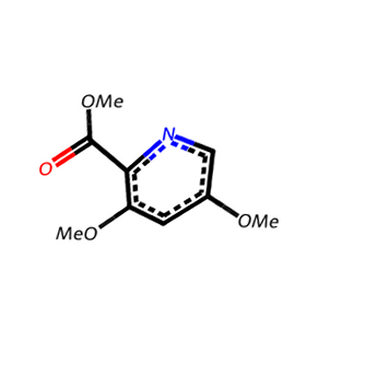 COC(=O)c1ncc(OC)cc1OC